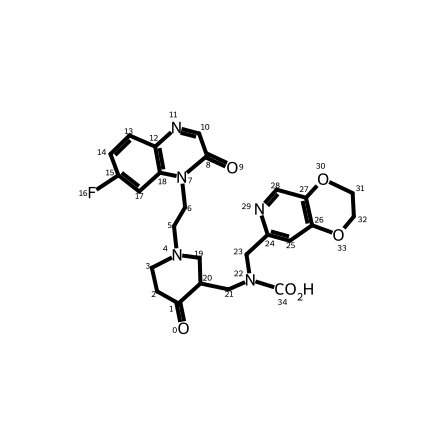 O=C1CCN(CCn2c(=O)cnc3ccc(F)cc32)CC1CN(Cc1cc2c(cn1)OCCO2)C(=O)O